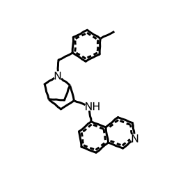 Cc1ccc(CN2CC3CC(Nc4cccc5cnccc45)C2C3)cc1